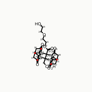 O=C(O)CC(N1C(=O)CCC1=O)(N1C(=O)CCC1=O)C(C(=O)OCCOCCO)(N1C(=O)CCC1=O)N1C(=O)CCC1=O